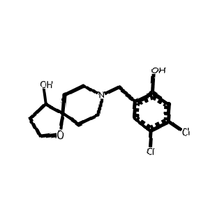 Oc1cc(Cl)c(Cl)cc1CN1CCC2(CC1)OCCC2O